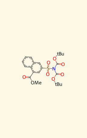 COC(=O)c1cc(S(=O)(=O)N(C(=O)OC(C)(C)C)C(=O)OC(C)(C)C)cc2ccccc12